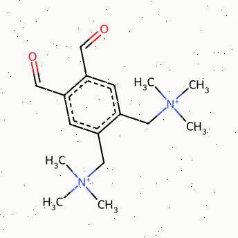 C[N+](C)(C)Cc1cc(C=O)c(C=O)cc1C[N+](C)(C)C